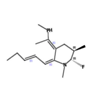 CC/C=C/C=C1\C(=C(/C)PC)C[C@@H](C)[C@H](F)N1C